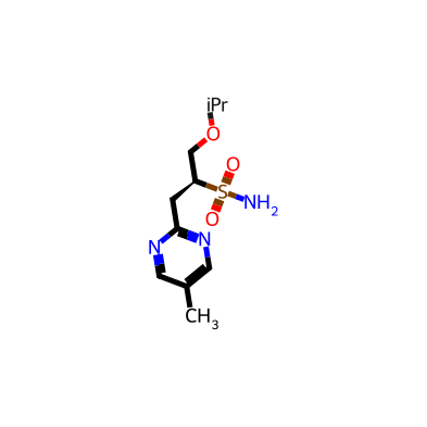 Cc1cnc(C[C@@H](COC(C)C)S(N)(=O)=O)nc1